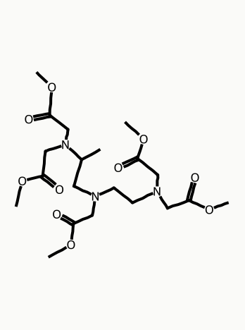 COC(=O)CN(CCN(CC(=O)OC)CC(C)N(CC(=O)OC)CC(=O)OC)CC(=O)OC